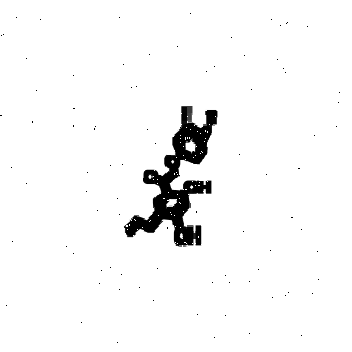 CCCc1cc(C(=O)COc2ccc(F)c(F)c2)c(O)cc1O